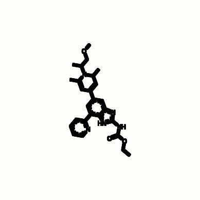 CCOC(=O)Nc1nc2cc(C3=CC(C)N(C(C)COC)C(C)=C3)cc(-c3ccccn3)c2[nH]1